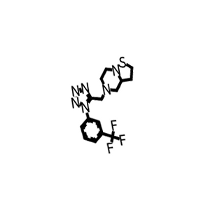 FC(F)(F)c1cccc(-n2nnnc2CN2CCN3SCCC3C2)c1